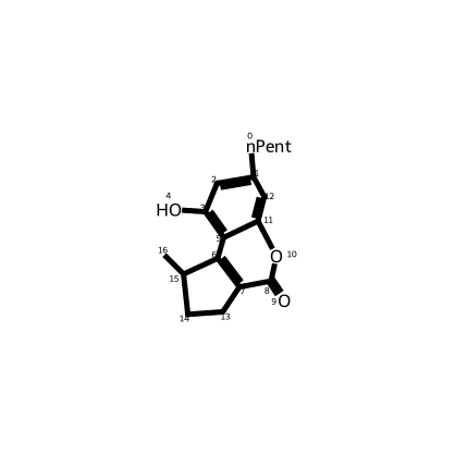 CCCCCc1cc(O)c2c3c(c(=O)oc2c1)CCC3C